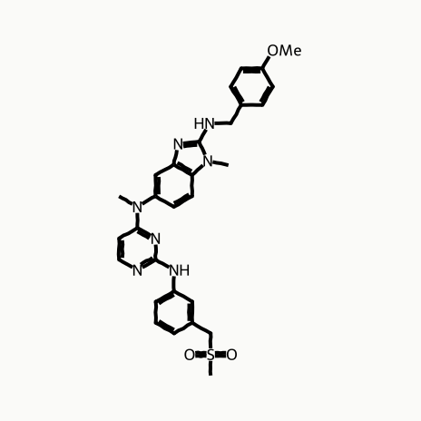 COc1ccc(CNc2nc3cc(N(C)c4ccnc(Nc5cccc(CS(C)(=O)=O)c5)n4)ccc3n2C)cc1